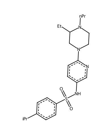 CCCN1CCN(c2ccc(NS(=O)(=O)c3ccc(C(C)C)cc3)cn2)CC1CC